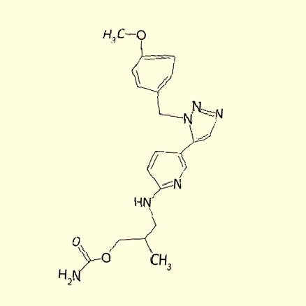 COc1ccc(Cn2nncc2-c2ccc(NCC(C)COC(N)=O)nc2)cc1